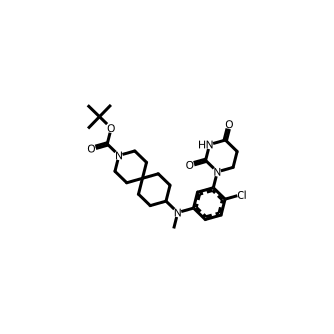 CN(c1ccc(Cl)c(N2CCC(=O)NC2=O)c1)C1CCC2(CC1)CCN(C(=O)OC(C)(C)C)CC2